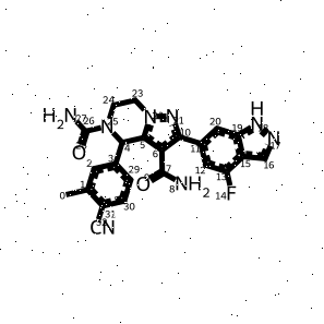 Cc1cc(C2c3c(C(N)=O)c(-c4cc(F)c5cn[nH]c5c4)nn3CCN2C(N)=O)ccc1C#N